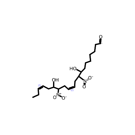 CC/C=C\CC(O)C(C/C=C\CC(C(O)CCCCCC[C]=O)[N+](=O)[O-])[N+](=O)[O-]